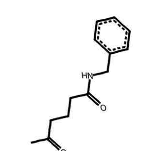 CC(=O)CCCC(=O)NCc1ccccc1